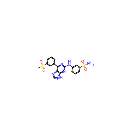 CS(=O)(=O)c1cccc(-c2nc(Nc3cccc(S(N)(=O)=O)c3)nc3[nH]cnc23)c1